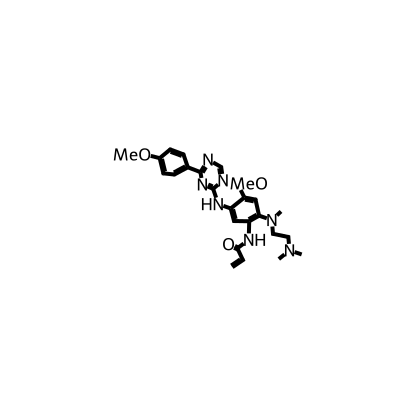 C=CC(=O)Nc1cc(Nc2ncnc(-c3ccc(OC)cc3)n2)c(OC)cc1N(C)CCN(C)C